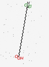 O=C(O)CCCCCCCCCCCCCCCCCCCCCCCCCCCCCC[SiH](Cl)Cl